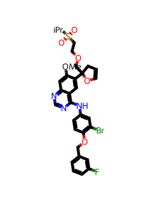 COc1cc2ncnc(Nc3ccc(OCc4cccc(F)c4)c(Br)c3)c2cc1C1(COCCS(=O)(=O)C(C)C)CC=CO1